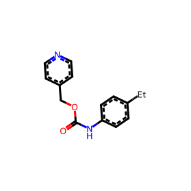 CCc1ccc(NC(=O)OCc2ccncc2)cc1